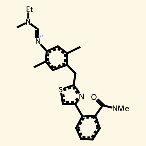 CCN(C)/C=N/c1cc(C)c(Cc2nc(-c3ccccc3C(=O)NC)cs2)cc1C